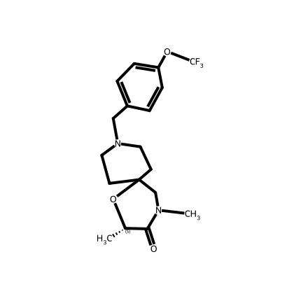 C[C@@H]1OC2(CCN(Cc3ccc(OC(F)(F)F)cc3)CC2)CN(C)C1=O